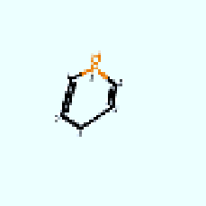 C1=CPC=CC1